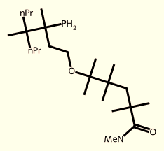 CCCC(C)(CCC)C(C)(P)CCOC(C)(C)C(C)(C)CC(C)(C)C(=O)NC